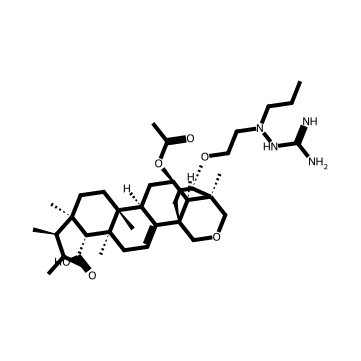 CCCN(CCO[C@H]1[C@H](OC(C)=O)C[C@]23COC[C@@]1(C)[C@@H]2CC[C@H]1C3=CC[C@@]2(C)[C@H](C(=O)O)[C@@](C)([C@H](C)C(C)C)CC[C@]12C)NC(=N)N